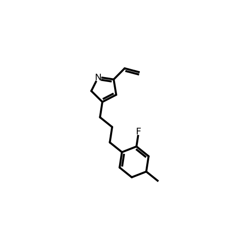 C=CC1=NCC(CCCC2=CCC(C)C=C2F)=C1